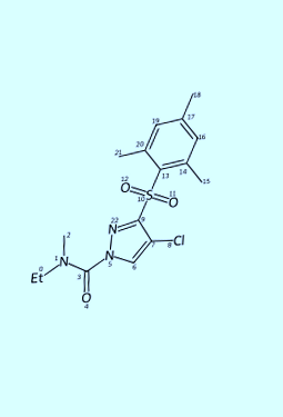 CCN(C)C(=O)n1cc(Cl)c(S(=O)(=O)c2c(C)cc(C)cc2C)n1